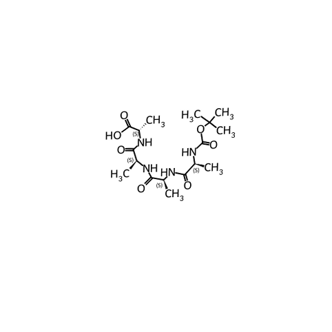 C[C@H](NC(=O)[C@H](C)NC(=O)[C@H](C)NC(=O)[C@H](C)NC(=O)OC(C)(C)C)C(=O)O